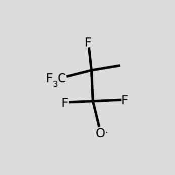 CC(F)(C([O])(F)F)C(F)(F)F